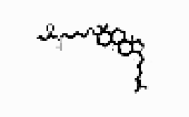 C=CC(=O)NCCCCOC1CC[C@]2(C)C3=C(CCC2C1(C)C)[C@]1(C)CC[C@H]([C@H](C)CCC=C(C)C)[C@@]1(C)CC3